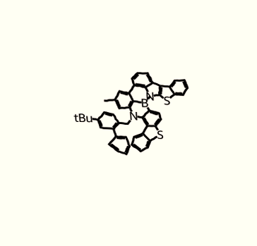 Cc1cc2c3c(c1)N(Cc1ccc(C(C)(C)C)cc1-c1ccccc1)c1c(ccc4sc5ccccc5c14)B3n1c3sc4ccccc4c3c3cccc-2c31